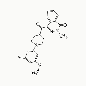 COc1cc(F)cc(N2CCN(C(=O)c3nn(C)c(=O)c4ccccc34)CC2)c1